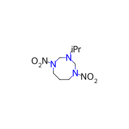 CC(C)N1CN([N+](=O)[O-])CCCN([N+](=O)[O-])C1